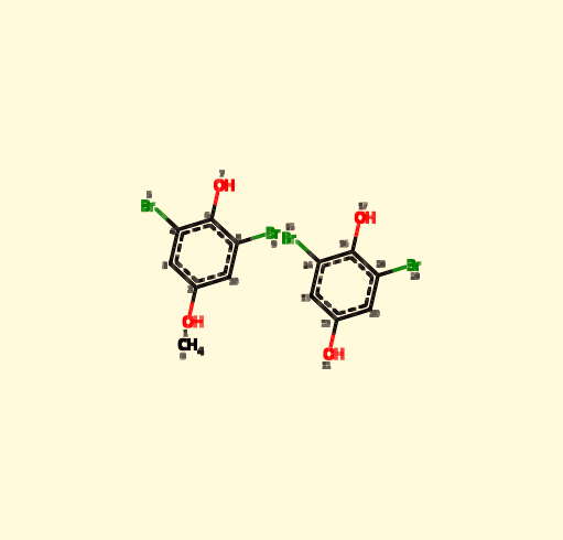 C.Oc1cc(Br)c(O)c(Br)c1.Oc1cc(Br)c(O)c(Br)c1